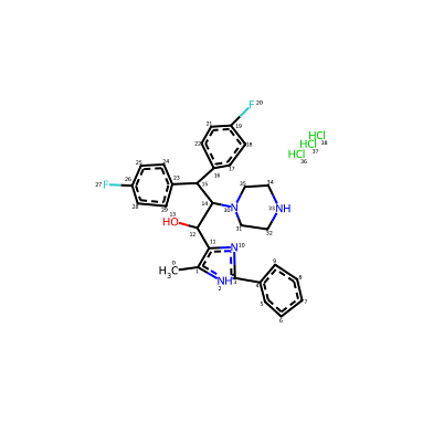 Cc1[nH]c(-c2ccccc2)nc1C(O)C(C(c1ccc(F)cc1)c1ccc(F)cc1)N1CCNCC1.Cl.Cl.Cl